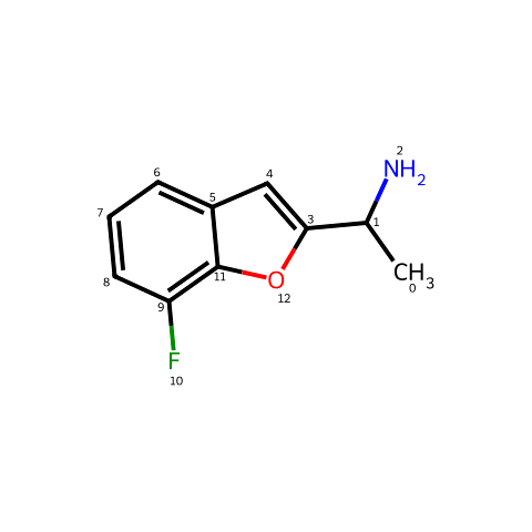 CC(N)c1cc2cccc(F)c2o1